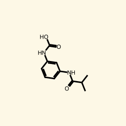 CC(C)C(=O)Nc1cccc(NC(=O)O)c1